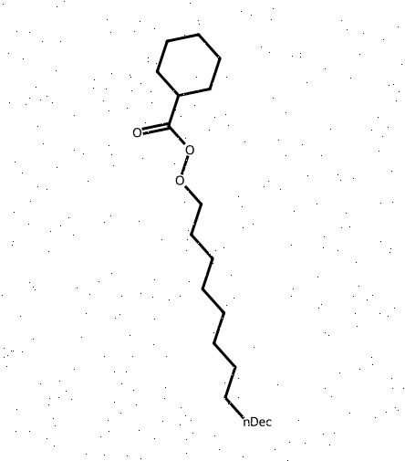 CCCCCCCCCCCCCCCCCCOOC(=O)C1CCCCC1